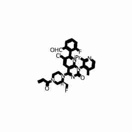 C=CC(=O)N1CCN(c2nc(=O)n(-c3c(C)ccnc3C(C)C)c3nc(-c4c(F)cccc4C=O)c(Cl)cc23)[C@@H](CF)C1